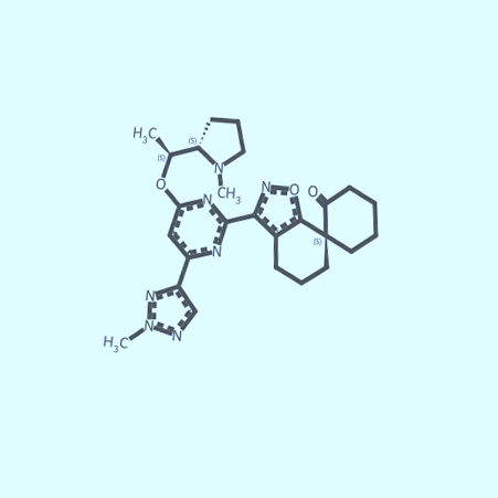 C[C@H](Oc1cc(-c2cnn(C)n2)nc(-c2noc3c2CCC[C@@]32CCCCC2=O)n1)[C@@H]1CCCN1C